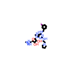 Cn1nnc([C@H]2O[C@@H](n3cnc4c(NCc5cccc(I)c5)nc(NCCN5CCCC5)nc43)[C@H](O)[C@@H]2O)n1